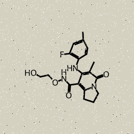 Cc1ccc(Nc2c(C(=O)NOCCO)c3n(c(=O)c2C)CCC3)c(F)c1